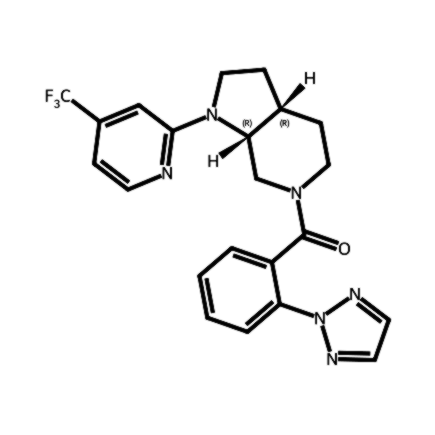 O=C(c1ccccc1-n1nccn1)N1CC[C@H]2CCN(c3cc(C(F)(F)F)ccn3)[C@H]2C1